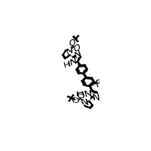 CC(C)(C)OC(=O)N1CCC[C@H]1c1ncc(-c2ccc(-c3ccc(-c4cnc([C@@H]5CCCN5C(=O)OC(C)(C)C)[nH]4)c(F)c3)cc2)[nH]1